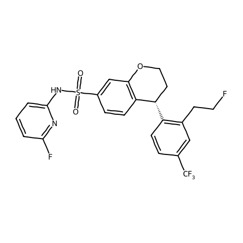 O=S(=O)(Nc1cccc(F)n1)c1ccc2c(c1)OCC[C@@H]2c1ccc(C(F)(F)F)cc1CCF